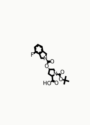 CC(C)(C)OC(=O)N1C[C@H](OC(=O)N2Cc3cccc(F)c3C2)CC1C(=O)O